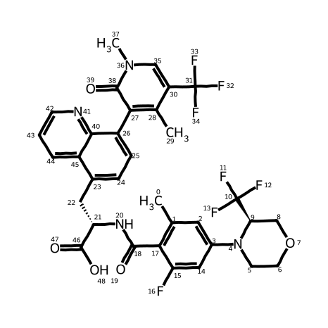 Cc1cc(N2CCOC[C@@H]2C(F)(F)F)cc(F)c1C(=O)N[C@@H](Cc1ccc(-c2c(C)c(C(F)(F)F)cn(C)c2=O)c2ncccc12)C(=O)O